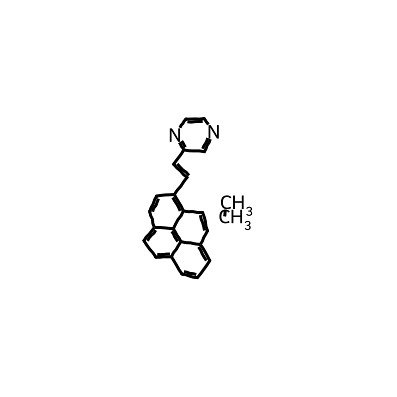 C(=Cc1ccc2ccc3cccc4ccc1c2c34)c1cnccn1.CC